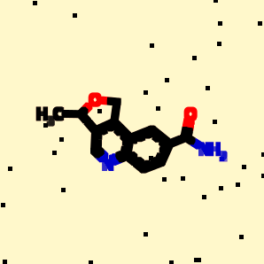 CC1OCc2c1cnc1ccc(C(N)=O)cc21